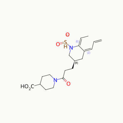 C=C/C=C1/C[C@@H](CCC(=O)N2CCC(C(=O)O)CC2)CN([SH](=O)=O)/C1=C/C